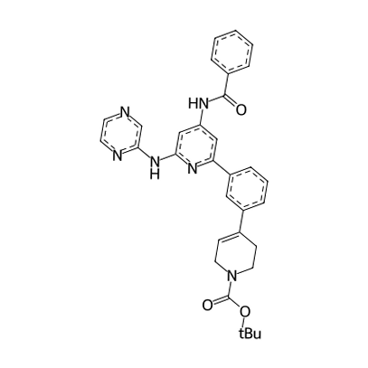 CC(C)(C)OC(=O)N1CC=C(c2cccc(-c3cc(NC(=O)c4ccccc4)cc(Nc4cnccn4)n3)c2)CC1